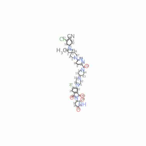 C[C@H]1CC2(CCN(c3ccc(C(=O)N4CCC(N5CCN(c6cc7c(cc6F)C(=O)N(C6CCC(=O)NC6=O)C7=O)CC5)CC4)nn3)CC2)CN1c1ccc(C#N)c(Cl)c1